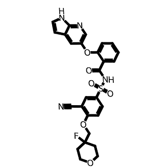 N#Cc1cc(S(=O)(=O)NC(=O)c2ccccc2Oc2cnc3[nH]ccc3c2)ccc1OCC1(F)CCOCC1